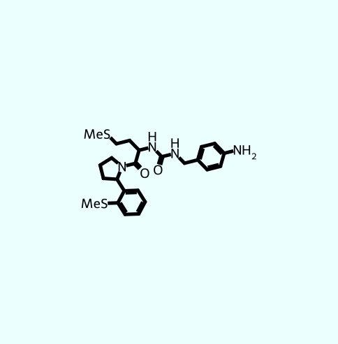 CSCCC(NC(=O)NCc1ccc(N)cc1)C(=O)N1CCCC1c1ccccc1SC